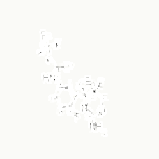 C[C@]1(c2cc(NC(=O)C3CC3(F)F)ccc2F)N=C(N)OCC1(F)F